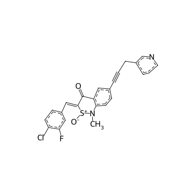 CN1c2ccc(C#CCc3cccnc3)cc2C(=O)/C(=C/c2ccc(Cl)c(F)c2)[S+]1[O-]